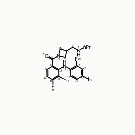 CCCNCC1CN(C(=O)c2ccc(F)c(F)c2Nc2ccc(I)cc2F)C1